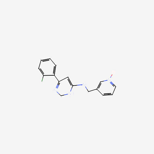 [O-][n+]1cccc(CNC2=CC(c3ccccc3Cl)=NCN2)c1